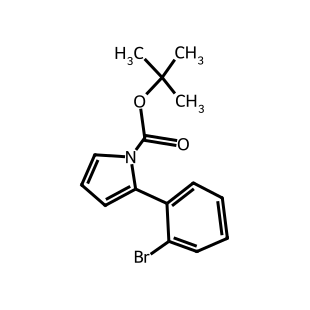 CC(C)(C)OC(=O)n1cccc1-c1ccccc1Br